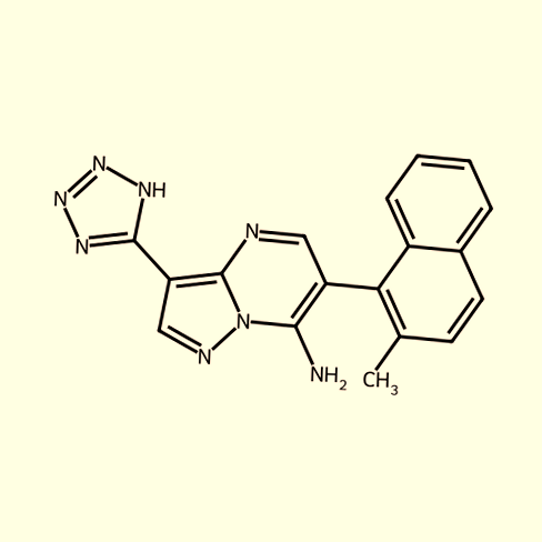 Cc1ccc2ccccc2c1-c1cnc2c(-c3nnn[nH]3)cnn2c1N